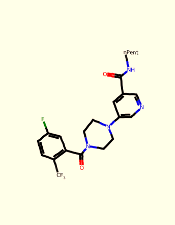 CCCCCNC(=O)c1cncc(N2CCN(C(=O)c3cc(F)ccc3C(F)(F)F)CC2)c1